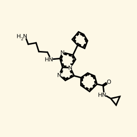 NCCCCNc1nc(-c2ccccc2)cn2c(-c3ccc(C(=O)NC4CC4)cc3)cnc12